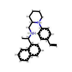 C=Cc1ccc(N2CCCCC2CNC(C)c2cccc3ccccc23)cc1